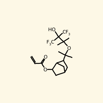 C=CC(=O)OC1CC2CC1C(C(C)(C)OC(C)(C)C(O)(C(F)(F)F)C(F)(F)F)C2